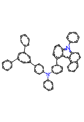 c1ccc(-c2cc(-c3ccccc3)cc(-c3ccc(N(c4ccccc4)c4cccc(-c5cccc6c5c5c7ccccc7ccc5n6-c5ccccc5)c4)cc3)c2)cc1